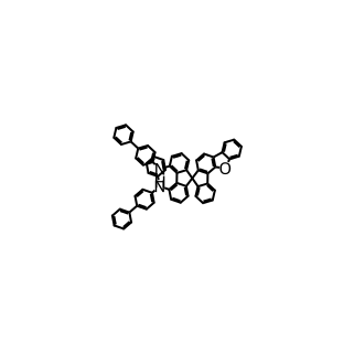 c1ccc(-c2ccc(Nc3cccc4c3-c3c(N(c5ccccc5)c5ccc(-c6ccccc6)cc5)cccc3C43c4ccccc4-c4c3ccc3c4oc4ccccc43)cc2)cc1